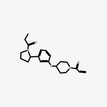 C=CC(=O)N1CCC(Oc2cccc(C3CCCN3C(=O)CC)c2)CC1